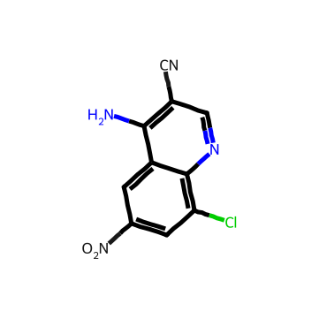 N#Cc1cnc2c(Cl)cc([N+](=O)[O-])cc2c1N